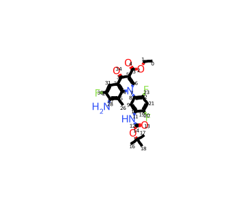 CCOC(=O)c1cn(-c2cc(NC(=O)OC(C)(C)C)c(F)cc2F)c2c(C)c(N)c(F)cc2c1=O